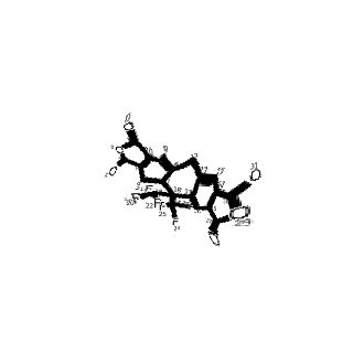 O=C1OC(=O)c2cc3c(cc21)Cc1cc2c(cc1C3(C(F)(F)F)C(F)(F)F)C(=O)OC2=O